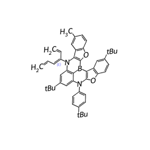 C=C/C=C(\C=C)N1c2cc(C(C)(C)C)cc3c2B(c2oc4ccc(C)cc4c21)c1c(oc2ccc(C(C)(C)C)cc12)N3c1ccc(C(C)(C)C)cc1